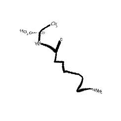 CNCCCCCC(=O)N[C@@H](C)C(=O)O